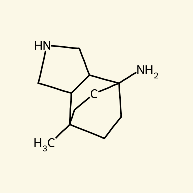 CC12CCC(N)(CC1)C1CNCC12